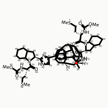 COC(=O)N[C@@H](CCSC)C(=O)N1C2CCCCC2C[C@H]1c1nc(C2=CC3=CC[C@@H]2C[C@@H](C)[C@@H]2C=CC(=C(c4ccc(-c5c[nH]c([C@@H]6CC7CCCCC7N6C(=O)[C@H](CCSC)NC(=O)OC)n5)cc4)C2)CC3)c[nH]1